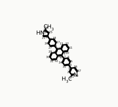 Cc1cc(-c2ccc(-c3c4ccccc4c(-c4ccc(-c5c[nH]c(C)c5)cc4)c4ccccc34)cc2)ccn1